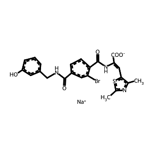 Cc1nc(C)c(/C=C(\NC(=O)c2ccc(C(=O)NCc3cccc(O)c3)cc2Br)C(=O)[O-])s1.[Na+]